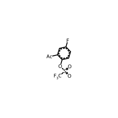 CC(=O)c1cc(F)ccc1OS(=O)(=O)C(F)(F)F